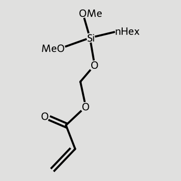 C=CC(=O)OCO[Si](CCCCCC)(OC)OC